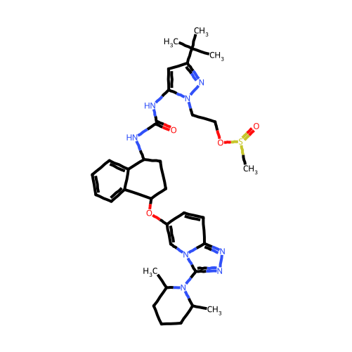 CC1CCCC(C)N1c1nnc2ccc(OC3CCC(NC(=O)Nc4cc(C(C)(C)C)nn4CCOS(C)=O)c4ccccc43)cn12